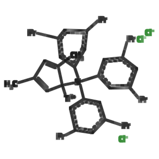 CC1=C[C]([Ti+3])([Si](c2cc(C(C)C)cc(C(C)C)c2)(c2cc(C(C)C)cc(C(C)C)c2)c2cc(C(C)C)cc(C(C)C)c2)C(C)=C1.[Cl-].[Cl-].[Cl-]